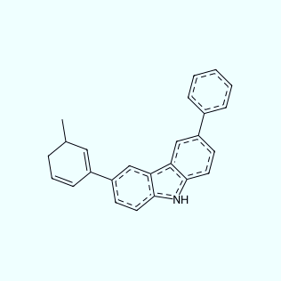 CC1C=C(c2ccc3[nH]c4ccc(-c5ccccc5)cc4c3c2)C=CC1